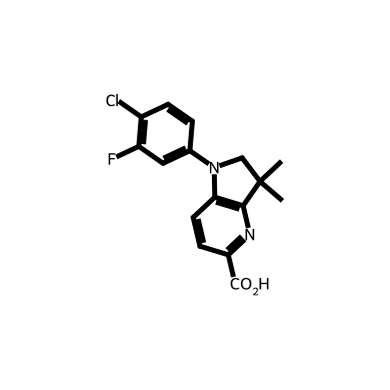 CC1(C)CN(c2ccc(Cl)c(F)c2)c2ccc(C(=O)O)nc21